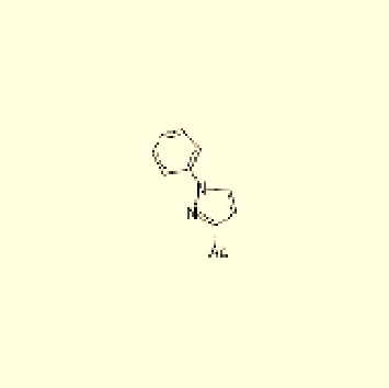 CC(=O)c1ccn(-c2ccccc2)n1